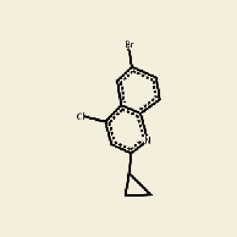 Clc1cc(C2CC2)nc2ccc(Br)cc12